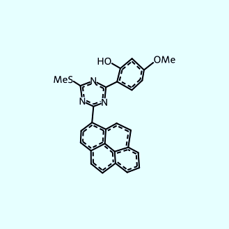 COc1ccc(-c2nc(SC)nc(-c3ccc4ccc5cccc6ccc3c4c56)n2)c(O)c1